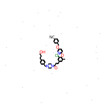 Cc1cc(/C=C/C(=O)N2CCN(Cc3ccc(CCCO)cc3)CC2)cc(Cl)c1Oc1ccc(OCc2ccc(C#N)cc2)cn1